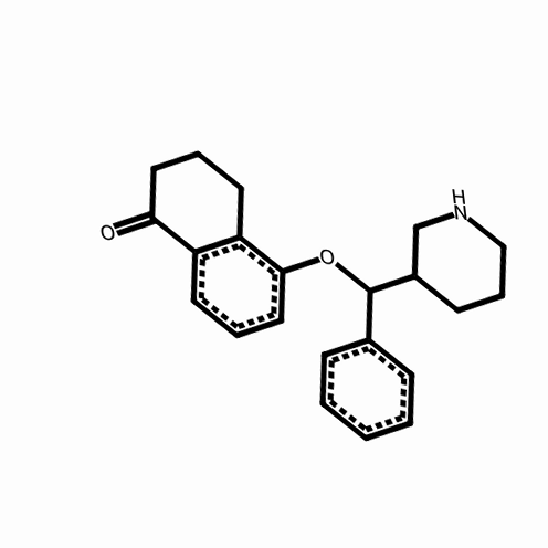 O=C1CCCc2c(OC(c3ccccc3)C3CCCNC3)cccc21